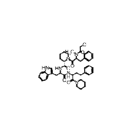 CN(C(=O)CCl)C(Cc1ccccc1)C(=O)N1CCCC[C@H]1C(=O)NC(Cc1c[nH]c2ccccc12)C(=O)NC(CCc1ccccc1)C(=O)N1CCCCC1